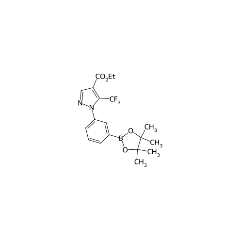 CCOC(=O)c1cnn(-c2cccc(B3OC(C)(C)C(C)(C)O3)c2)c1C(F)(F)F